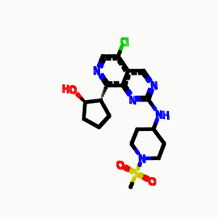 CS(=O)(=O)N1CCC(Nc2ncc3c(Cl)cnc([C@@H]4CCC[C@H]4O)c3n2)CC1